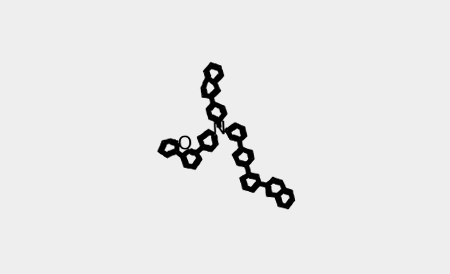 c1cc(-c2ccc(-c3cccc(N(c4ccc(-c5ccc6ccccc6c5)cc4)c4ccc(-c5cccc6c5oc5ccccc56)cc4)c3)cc2)cc(-c2ccc3ccccc3c2)c1